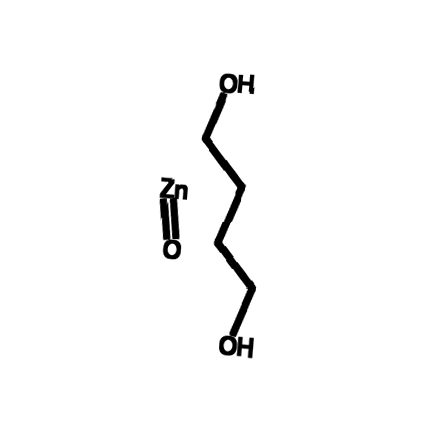 OCCCCO.[O]=[Zn]